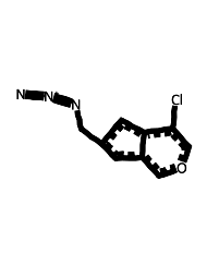 [N-]=[N+]=NCc1cc2cocc(Cl)c-2c1